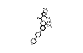 Cc1cc(C(=O)N2Cc3cc(N4CCC(N5CCOCC5)CC4)ccc3C(C)(C)C2)n(C)n1